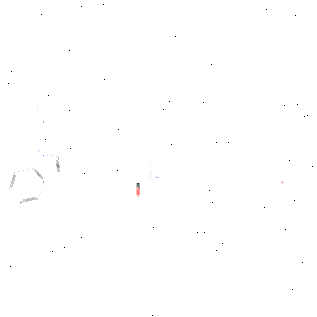 O=C(CCCCc1cn(CCCS(=O)(=O)O)c2ccc(S(=O)(=O)O)cc12)NCCCCCCOP(=O)(O)O